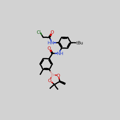 C=C1OB(c2cc(C(=O)Nc3cc(C(C)(C)C)ccc3NC(=O)CCl)ccc2C)OC1(C)C